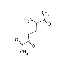 CC(=O)C(=O)CCC(N)C(C)=O